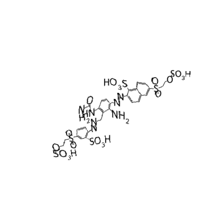 NC(=O)Nc1ccc(/N=N/c2ccc3cc(S(=O)(=O)CCOS(=O)(=O)O)ccc3c2S(=O)(=O)O)c(N)c1C/N=N/c1ccc(S(=O)(=O)CCOS(=O)(=O)O)cc1S(=O)(=O)O